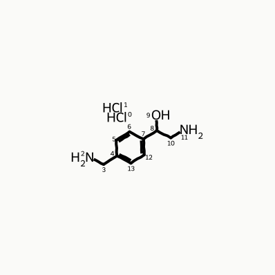 Cl.Cl.NCc1ccc(C(O)CN)cc1